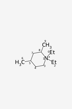 CC[N+]1(CC)CCC(C)CC1C